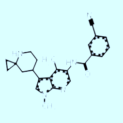 Cc1c(NC(=O)c2cccc(C#N)c2)cnc2c1c(C1CCNC3(CC3)C1)cn2C